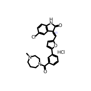 CN1CCCN(C(=O)c2cccc(-c3ccc(/C=C4/C(=O)Nc5ccc(Cl)cc54)o3)c2)CC1.Cl